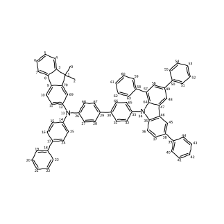 CC1(C)c2ccccc2-c2ccc(N(c3ccc(-c4ccccc4)cc3)c3ccc(-c4ccc(-n5c6ccc(-c7ccccc7)cc6c6cc(-c7ccccc7)cc(-c7ccccc7)c65)cc4)cc3)cc21